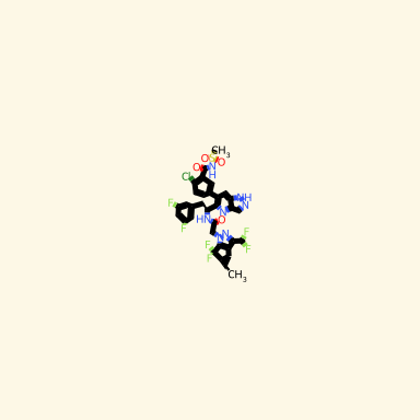 C[C@@H]1C2c3c(C(F)F)nn(CC(=O)N[C@@H](Cc4cc(F)cc(F)c4)c4nc5cn[nH]c5cc4-c4ccc(Cl)c(C(=O)NS(C)(=O)=O)c4)c3C(F)(F)C21